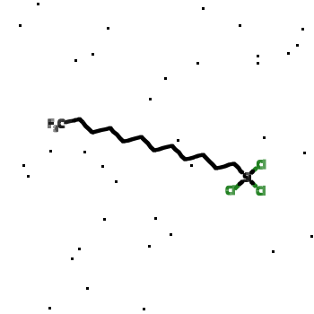 FC(F)(F)CCCCCCCCCCC[Si](Cl)(Cl)Cl